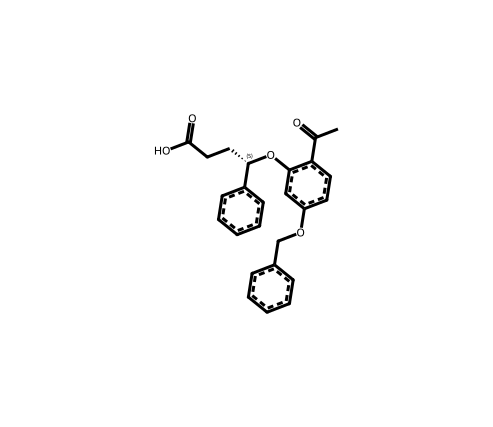 CC(=O)c1ccc(OCc2ccccc2)cc1O[C@@H](CCC(=O)O)c1ccccc1